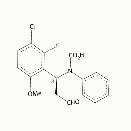 COc1ccc(Cl)c(F)c1[C@H](CC=O)N(C(=O)O)c1ccccc1